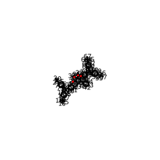 CC(C)(C)c1ccc(N(c2ccc(C(C)(C)C)cc2)c2ccc3cc4c(cc3c2)C(C(C)(C)C)(C(C)(C)C)c2c-4c3ccccc3c3cc(N(c4ccc(C(C)(C)C)cc4)c4ccc(C(C)(C)C)cc4)ccc23)cc1